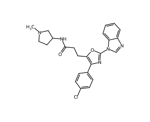 CN1CCC(NC(=O)CCc2oc(-n3cnc4ccccc43)nc2-c2ccc(Cl)cc2)C1